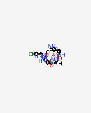 CC(C)(CNC(=O)C(=O)Nc1cccc(-c2ccc(CN)cc2)c1)CNC(=O)c1ccc(Nc2nc(NC3(c4ccc(Cl)cc4)CC3)nc(OCC(F)(F)F)n2)cc1